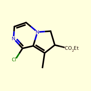 CCOC(=O)C1CN2C=CN=C(Cl)C2=C1C